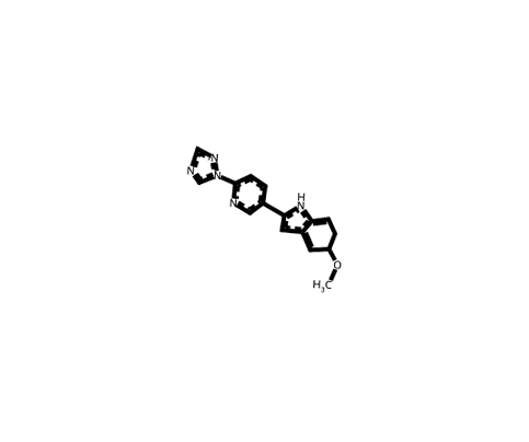 COC1C=c2cc(-c3ccc(-n4cncn4)nc3)[nH]c2=CC1